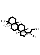 C[C@H](CO)[C@H]1CC[C@@H]2C3=C(CC[C@@]21C)[C@@]1(C)CCCC(C)(C)[C@@H]1CC3